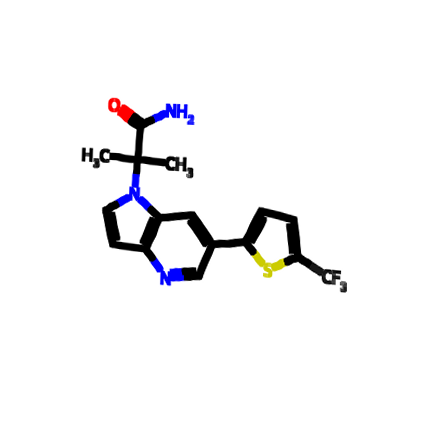 CC(C)(C(N)=O)n1ccc2ncc(-c3ccc(C(F)(F)F)s3)cc21